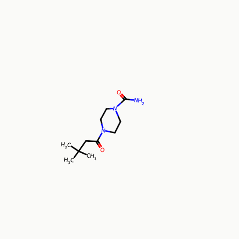 CC(C)(C)CC(=O)N1CCN(C(N)=O)CC1